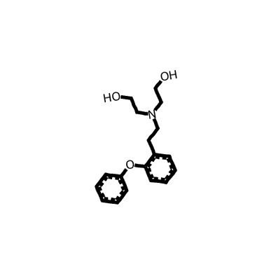 OCCN(CCO)CCc1ccccc1Oc1ccccc1